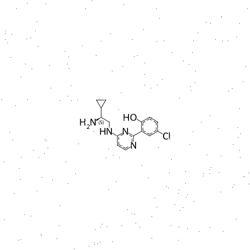 N[C@H](CNc1ccnc(-c2cc(Cl)ccc2O)n1)C1CC1